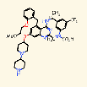 COCCOc1ccccc1Cc1cc(OC2CCN(C3CCNCC3)CC2)cc2nc(C)nc(N[C@H](C)c3cc(NC(=O)O)cc(C(F)(F)F)c3)c12